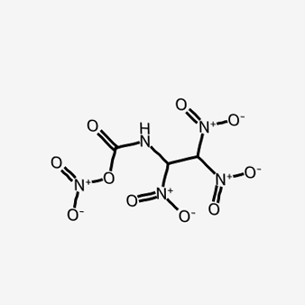 O=C(NC(C([N+](=O)[O-])[N+](=O)[O-])[N+](=O)[O-])O[N+](=O)[O-]